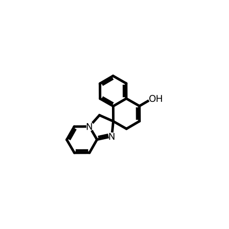 OC1=CCC2(CN3C=CC=CC3=N2)c2ccccc21